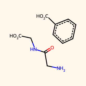 NCC(=O)NCC(=O)O.O=C(O)c1ccccc1